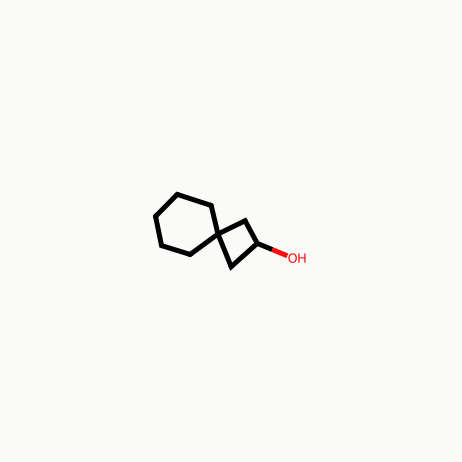 OC1CC2(CCCCC2)C1